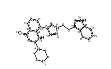 O=c1cc(N2CCOCC2)[nH]c2c(-c3cn(CCc4c[nH]c5ccccc45)nn3)cccc12